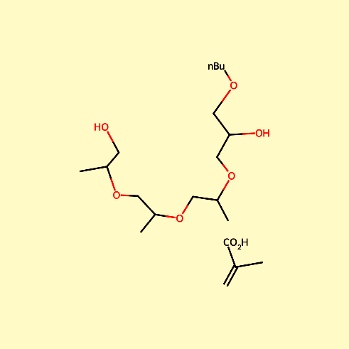 C=C(C)C(=O)O.CCCCOCC(O)COC(C)COC(C)COC(C)CO